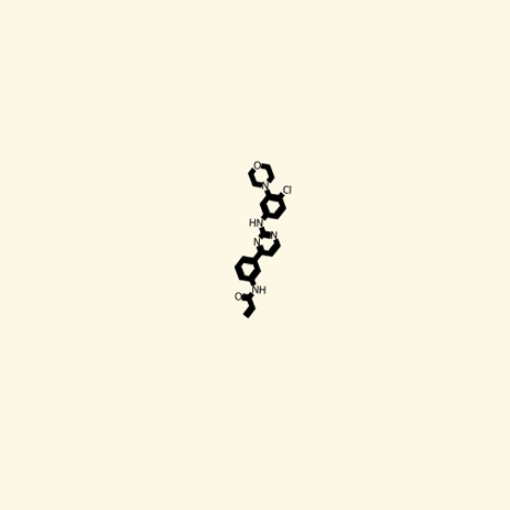 C=CC(=O)Nc1cccc(-c2ccnc(Nc3ccc(Cl)c(N4CCOCC4)c3)n2)c1